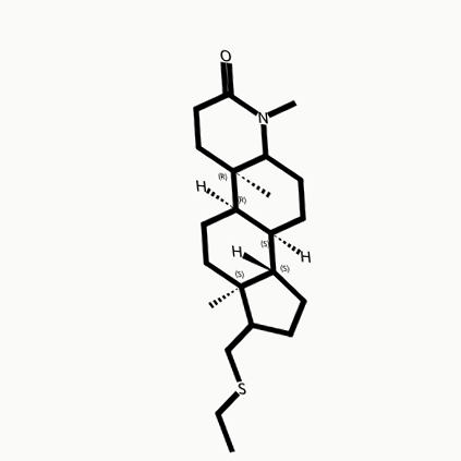 CCSCC1CC[C@H]2[C@@H]3CCC4N(C)C(=O)CC[C@]4(C)[C@@H]3CC[C@]12C